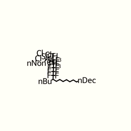 CCCCCCCCCCCCCCCCCC(CCCC)C(F)(F)C(F)(F)C(F)(F)C(F)(F)C(F)(F)[Si](C)(C)C(CCCCCCCCC)[Si](Cl)(Cl)Cl